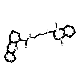 O=C(NCCCNc1n[n+]([O-])c2ccccc2[n+]1[O-])c1cccc2cc3ccccc3nc12